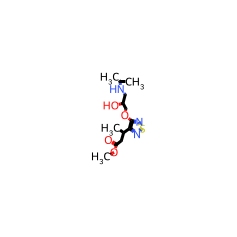 COC(=O)CC(C)c1nsnc1OCC(O)CNC(C)C